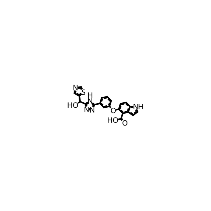 O=C(O)c1c(Oc2cccc(-c3nnc(C(O)c4cncs4)[nH]3)c2)ccc2[nH]ccc12